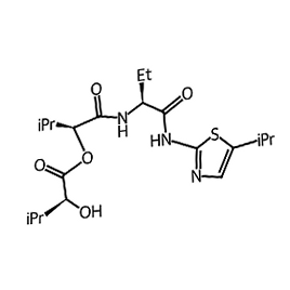 CC[C@H](NC(=O)[C@@H](OC(=O)[C@@H](O)C(C)C)C(C)C)C(=O)Nc1ncc(C(C)C)s1